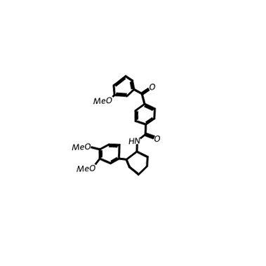 COc1cccc(C(=O)c2ccc(C(=O)NC3CCCCC3c3ccc(OC)c(OC)c3)cc2)c1